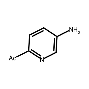 [CH2]C(=O)c1ccc(N)cn1